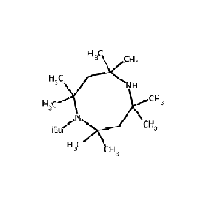 CCC(C)N1C(C)(C)CC(C)(C)NC(C)(C)CC1(C)C